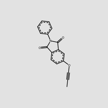 CC#COc1ccc2c(c1)C(=O)N(c1ccccc1)C2=O